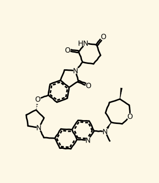 C[C@@H]1CC[C@H](N(C)c2ccc3cc(CN4CC[C@H](Oc5ccc6c(c5)CN(C5CCC(=O)NC5=O)C6=O)C4)ccc3n2)COC1